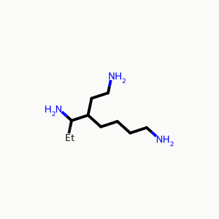 CCC(N)C(CCN)CCCCN